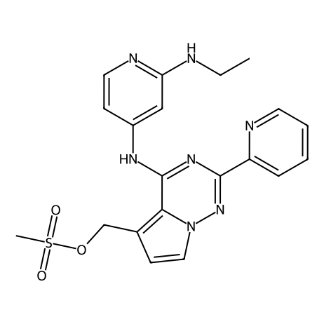 CCNc1cc(Nc2nc(-c3ccccn3)nn3ccc(COS(C)(=O)=O)c23)ccn1